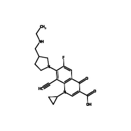 C#Cc1c(N2CCC(CNCC)C2)c(F)cc2c(=O)c(C(=O)O)cn(C3CC3)c12